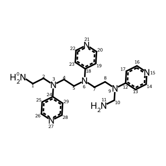 NCCN(CCN(CCN(CN)c1ccncc1)c1ccncc1)c1ccncc1